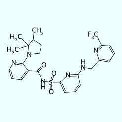 CC1CCN(c2ncccc2C(=O)NS(=O)(=O)c2cccc(NCc3cccc(C(F)(F)F)n3)n2)C1(C)C